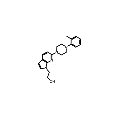 Cc1ccccc1N1CCN(c2ccc3ccn(CCO)c3n2)CC1